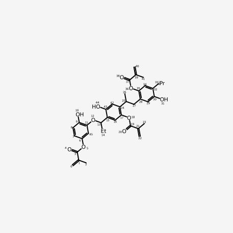 C=C(C)C(=O)Oc1ccc(O)c(OC(CC)c2cc(OC(=O)C(=C)C)c(C(C)Cc3cc(O)c(C(C)C)cc3OC(=O)C(=C)C)cc2O)c1